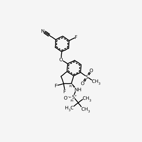 CC(C)(C)[S@+]([O-])N[C@@H]1c2c(S(C)(=O)=O)ccc(Oc3cc(F)cc(C#N)c3)c2CC1(F)F